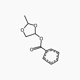 CC1OCC(OC(=O)c2ccccc2)O1